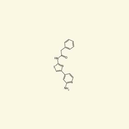 Nc1cc(-c2csc(NC(=O)Cc3ccccc3)n2)ccn1